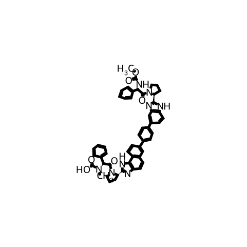 COC(=O)N[C@@H](C(=O)N1CCC[C@H]1c1nc2cc(-c3ccc(-c4ccc5c(ccc6nc([C@@H]7CCCN7C(=O)[C@@H](c7ccccc7)N(C)C(=O)O)[nH]c65)c4)cc3)ccc2[nH]1)c1ccccc1